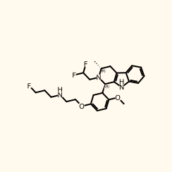 COC1=CC=C(OCCNCCCF)CC1[C@@H]1c2[nH]c3ccccc3c2C[C@@H](C)N1CC(F)F